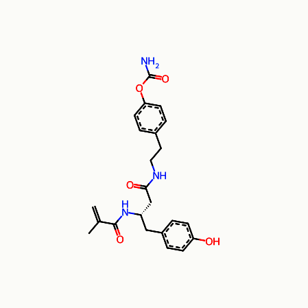 C=C(C)C(=O)N[C@H](CC(=O)NCCc1ccc(OC(N)=O)cc1)Cc1ccc(O)cc1